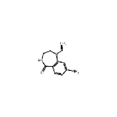 C=CN1CCNC(=O)c2ccc(N)cc21